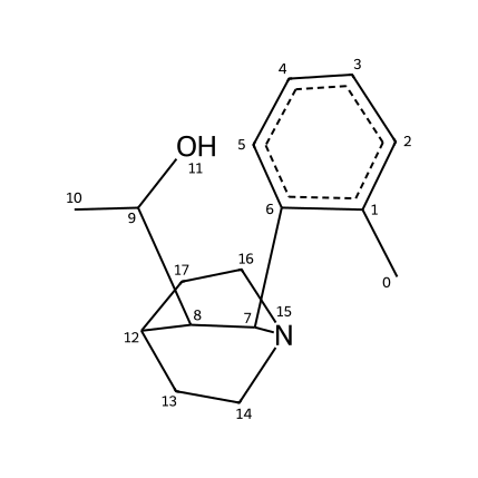 Cc1ccccc1C1C(C(C)O)C2CCN1CC2